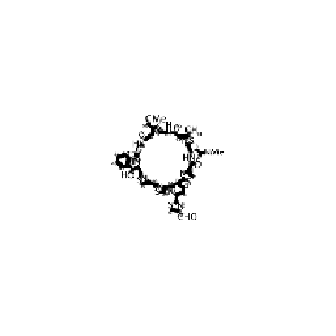 CNC(=O)C[C@@H]1NC(=O)c2csc(n2)-c2ccc(-c3nc(C=O)cs3)nc2-c2csc(n2)-c2csc(n2)[C@H]([C@@H](O)c2ccccc2)NC(=O)CNC(=O)c2nc(sc2COC)NC(=O)c2nc1sc2C